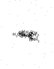 CC(C)(C)OC(=O)NCCC[C@@H](CNC(=O)CN)NC(=O)OC(C)(C)C